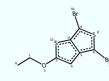 CCOc1cc2c(Br)sc(Br)c2s1